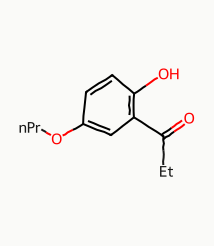 CCCOc1ccc(O)c(C(=O)CC)c1